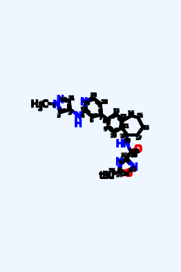 Cn1cc(Nc2cc(-c3ccc4c(c3)CCCC[C@H]4NC(=O)c3noc(C(C)(C)C)n3)ccn2)cn1